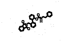 O=C(NCCc1ccccc1)Oc1ccccc1-c1ccccc1CN1C(=O)c2ccccc2C1=O